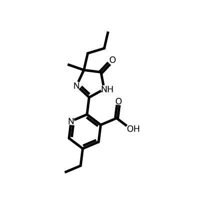 CCCC1(C)N=C(c2ncc(CC)cc2C(=O)O)NC1=O